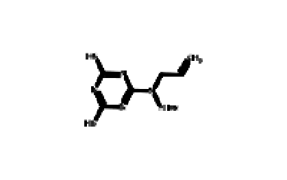 C=CCN(CCCCCC)c1nc(S)nc(S)n1